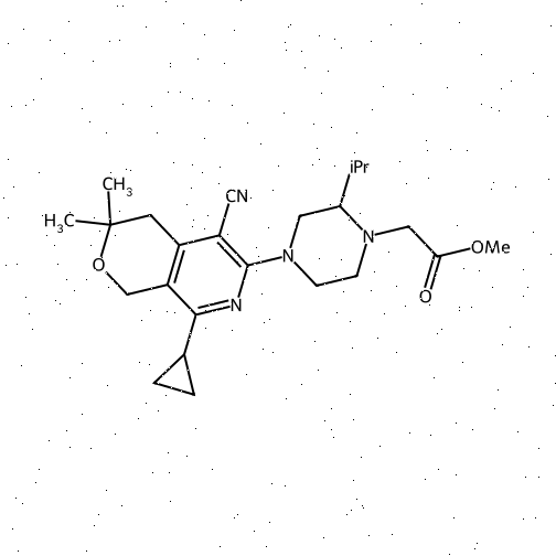 COC(=O)CN1CCN(c2nc(C3CC3)c3c(c2C#N)CC(C)(C)OC3)CC1C(C)C